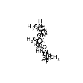 CCn1nc(NC(=O)n2ccc3c(C)c(Oc4ncnc5c4CC(C)NC5)ccc32)cc1C(F)(F)F